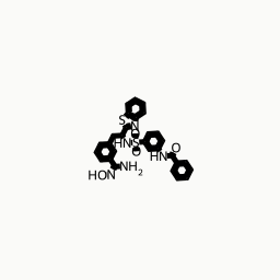 N/C(=N/O)c1cccc(CC(NS(=O)(=O)c2cccc(NC(=O)c3ccccc3)c2)c2nc3ccccc3s2)c1